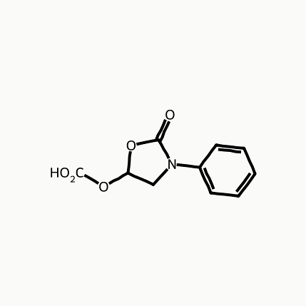 O=C(O)OC1CN(c2ccccc2)C(=O)O1